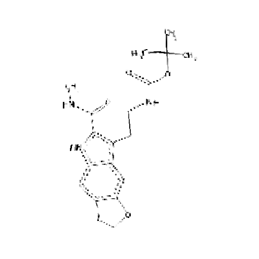 CNC(=O)c1[nH]c2cc3c(cc2c1CCNC(=O)OC(C)(C)C)OCC3